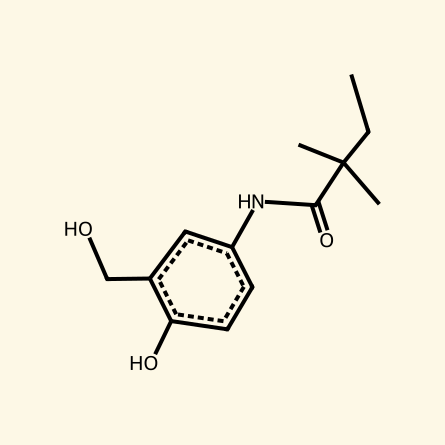 CCC(C)(C)C(=O)Nc1ccc(O)c(CO)c1